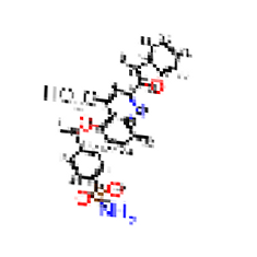 Cc1c(-c2cc(C(=O)O)c3c(O[C@H](C)c4ccc(S(N)(=O)=O)cc4)ccc(C)c3n2)oc2ccccc12